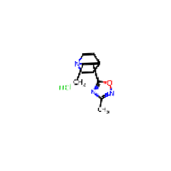 Cc1noc(C2C3CCN(CC3)C2C)n1.Cl